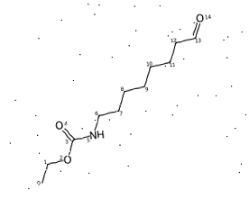 CCOC(=O)NCCCCCCCC=O